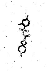 Cc1ccc(S(=O)(=O)OC(=O)N2CC3(CCNCC3)C2)c(C)c1